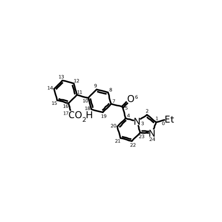 CCc1cn2c(C(=O)c3ccc(-c4ccccc4C(=O)O)cc3)cccc2n1